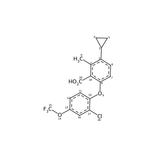 Cc1c(C2CC2)ccc(Oc2ccc(OC(F)(F)F)cc2Cl)c1C(=O)O